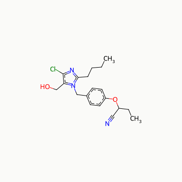 CCCCc1nc(Cl)c(CO)n1Cc1ccc(OC(C#N)CC)cc1